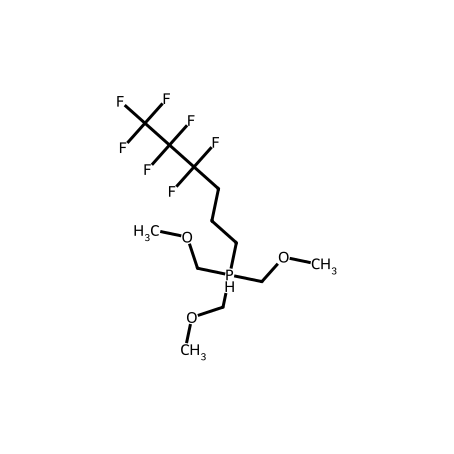 COC[PH](CCCC(F)(F)C(F)(F)C(F)(F)F)(COC)COC